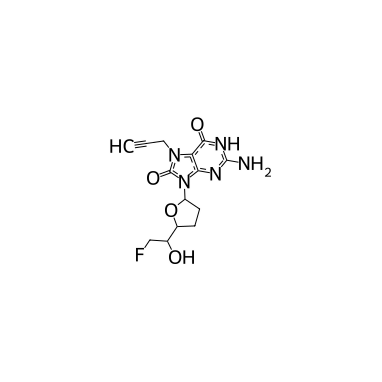 C#CCn1c(=O)n(C2CCC(C(O)CF)O2)c2nc(N)[nH]c(=O)c21